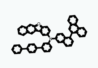 c1ccc(-c2ccc(-c3cccc(N(c4ccc5c(-c6cc7ccccc7c7ccccc67)cccc5c4)c4ccc5oc6cc7ccccc7cc6c5c4)c3)cc2)cc1